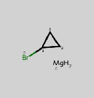 BrC1CC1.[MgH2]